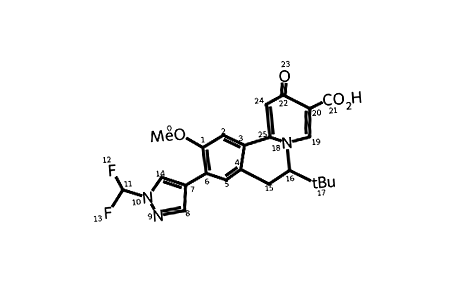 COc1cc2c(cc1-c1cnn(C(F)F)c1)CC(C(C)(C)C)n1cc(C(=O)O)c(=O)cc1-2